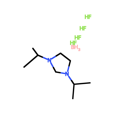 B.CC(C)N1CCN(C(C)C)C1.F.F.F.F